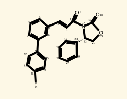 O=C(/C=C/c1cccc(-c2ccc(F)cc2)c1)N1C(=O)OC[C@@H]1c1ccccc1